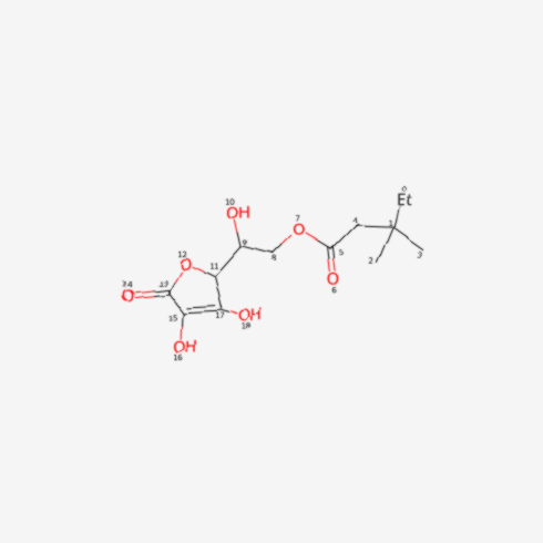 CCC(C)(C)CC(=O)OCC(O)C1OC(=O)C(O)=C1O